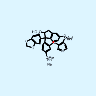 CCCOc1ccc2c(c1)CC(C(=O)O)C2(c1ccc2c(c1)OCO2)c1ccc(OC)cc1Oc1cnccc1C(=O)O.[Na].[Na]